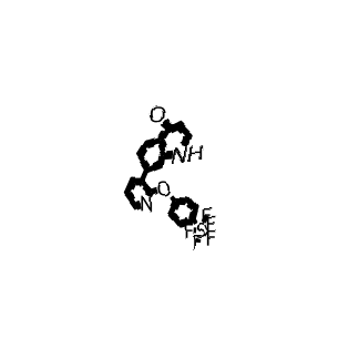 O=c1cc[nH]c2cc(-c3cccnc3Oc3ccc(S(F)(F)(F)(F)F)cc3)ccc12